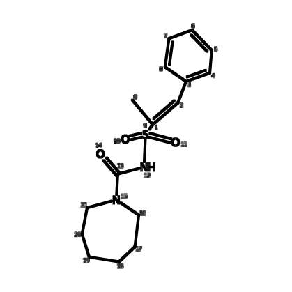 CC(=Cc1ccccc1)S(=O)(=O)NC(=O)N1CCCCCC1